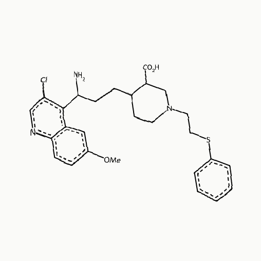 COc1ccc2ncc(Cl)c(C(N)CCC3CCN(CCSc4ccccc4)CC3C(=O)O)c2c1